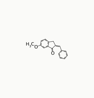 COc1ccc2c(c1)C(=O)/C(=C\c1ccccc1)C2